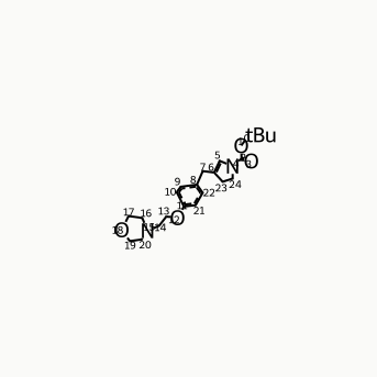 CC(C)(C)OC(=O)N1C=C(Cc2ccc(OCCN3CCOCC3)cc2)CC1